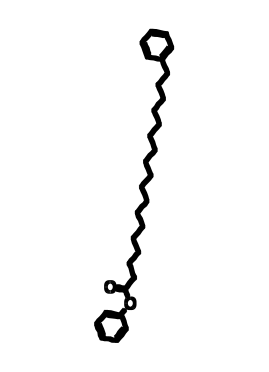 O=C(CCCCCCCCCCCCCCCCCc1ccccc1)Oc1ccccc1